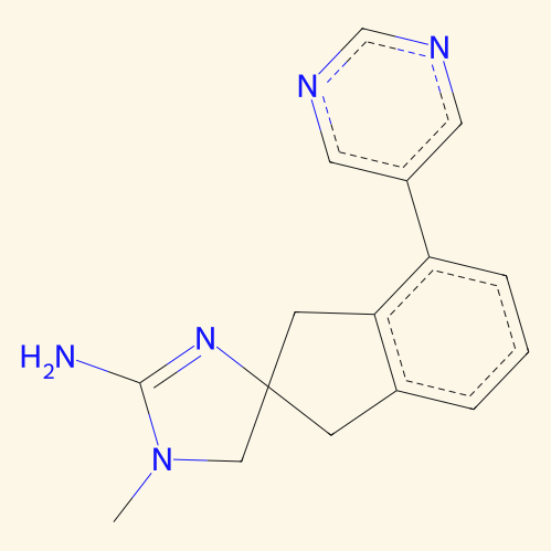 CN1CC2(Cc3cccc(-c4cncnc4)c3C2)N=C1N